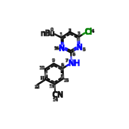 CCCCc1cc(Cl)nc(Nc2ccc(C)c(C#N)c2)n1